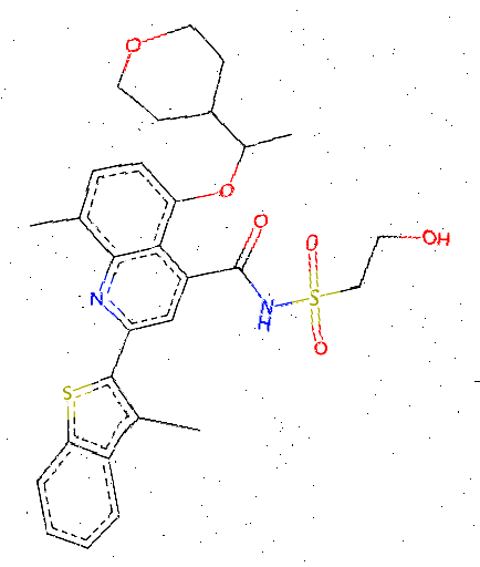 Cc1c(-c2cc(C(=O)NS(=O)(=O)CCO)c3c(OC(C)C4CCOCC4)ccc(C)c3n2)sc2ccccc12